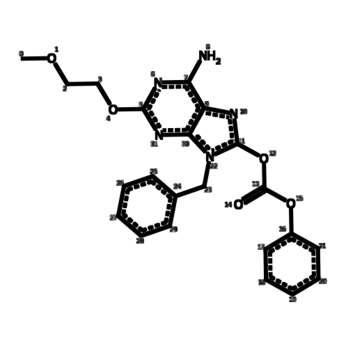 COCCOc1nc(N)c2nc(OC(=O)Oc3ccccc3)n(Cc3ccccc3)c2n1